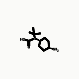 CC(C)(C)N(C(=O)O)[C@H]1CC[C@@H](N)CC1